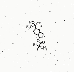 CCC(C)(I)C(=O)OC1CCC2CC(C(O)(C(F)(F)F)C(F)(F)F)CCC21